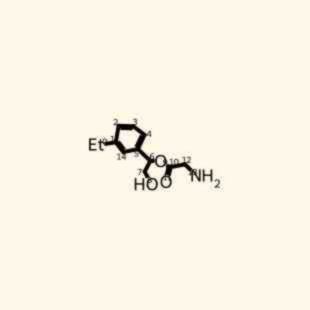 CCc1cccc(C(CO)OC(=O)CN)c1